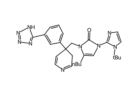 CCCCc1cn(-c2nccn2C(C)(C)C)c(=O)n1CC1(c2cccc(-c3nnn[nH]3)c2)C=CN=CC1